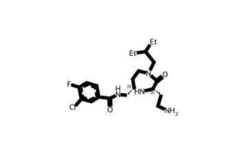 CCC(CC)CN1CC[C@@H](CNC(=O)c2ccc(F)c(Cl)c2)N[C@@H](CCN)C1=O